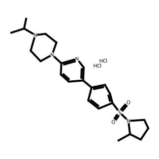 CC(C)N1CCN(c2ccc(-c3ccc(S(=O)(=O)N4CCCC4C)cc3)cn2)CC1.Cl.Cl